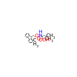 Cc1cccc2c1C(CCOC(=O)N[C@@H](CC(C)C)C(=O)O)c1ccccc1-2